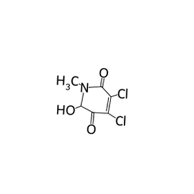 CN1C(=O)C(Cl)=C(Cl)C(=O)C1O